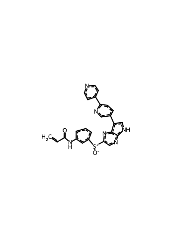 C=CC(=O)Nc1cccc([S+]([O-])c2cnc3[nH]cc(-c4ccc(-c5ccncc5)nc4)c3n2)c1